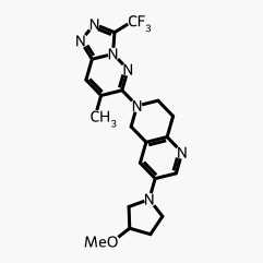 COC1CCN(c2cnc3c(c2)CN(c2nn4c(C(F)(F)F)nnc4cc2C)CC3)C1